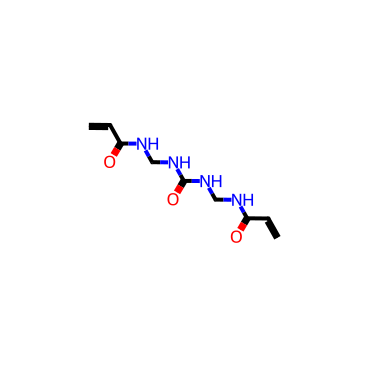 C=CC(=O)NCNC(=O)NCNC(=O)C=C